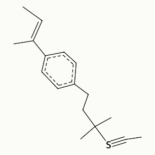 CC#SC(C)(C)CCc1ccc(/C(C)=C/C)cc1